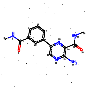 CNC(=O)c1cccc(-c2cnc(N)c(C(=O)NC)n2)c1